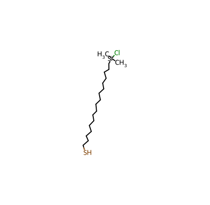 C[Si](C)(Cl)CCCCCCCCCCCCCCCCCS